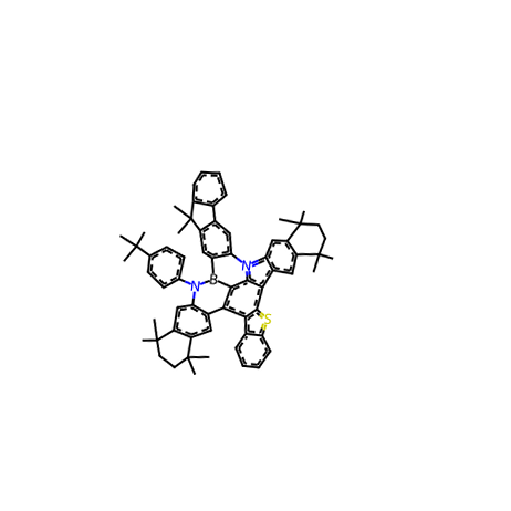 CC(C)(C)c1ccc(N2B3c4cc5c(cc4-n4c6cc7c(cc6c6c8sc9ccccc9c8c(c3c64)-c3cc4c(cc32)C(C)(C)CCC4(C)C)C(C)(C)CCC7(C)C)-c2ccccc2C5(C)C)cc1